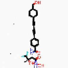 C[C@@](O)(C(F)F)[C@H](NC(=O)c1ccc(C#CC#CC2CCC(CO)CC2)cc1)C(=O)NO